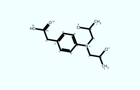 CC(Cl)CN(CC(C)Cl)c1ccc(CC(=O)O)cc1